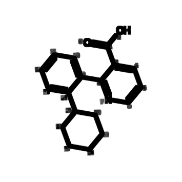 O=C(O)c1cccnc1-c1ccccc1C1CCCCC1